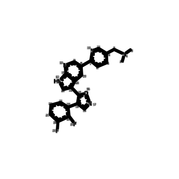 CN(C)Cc1ccc(-c2cnc3[nH]cc(-c4oncc4-c4cccc(F)c4F)c3c2)nc1